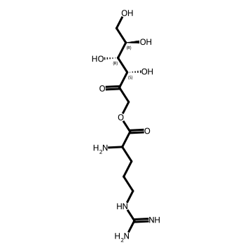 N=C(N)NCCCC(N)C(=O)OCC(=O)[C@@H](O)[C@H](O)[C@H](O)CO